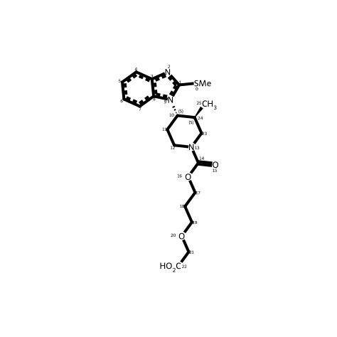 CSc1nc2ccccc2n1[C@H]1CCN(C(=O)OCCCOCC(=O)O)C[C@@H]1C